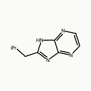 CC(C)Cc1nc2nccnc2[nH]1